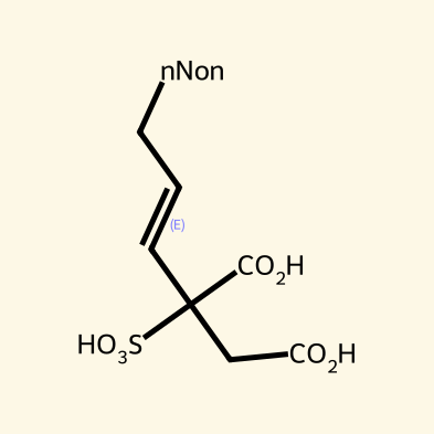 CCCCCCCCCC/C=C/C(CC(=O)O)(C(=O)O)S(=O)(=O)O